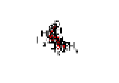 CC(OC(=O)O[C@@H]1C(=O)OCc2c1cc1n(c2=O)Cc2c-1nc1ccccc1c2CCN(C(C)C)[S+](C)[O-])c1ccc(NC(=O)CNC(=O)COCC=O)cc1